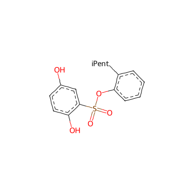 CCCC(C)c1ccccc1OS(=O)(=O)c1cc(O)ccc1O